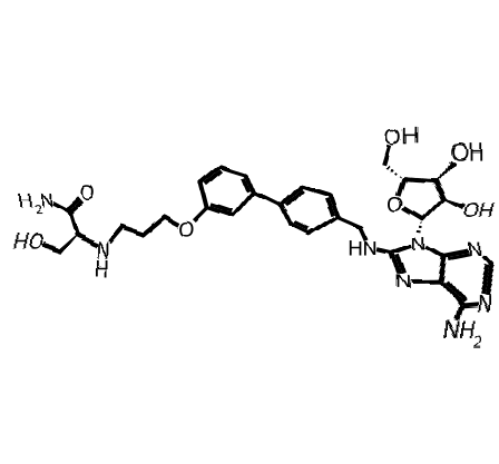 NC(=O)[C@H](CO)NCCCOc1cccc(-c2ccc(CNc3nc4c(N)ncnc4n3[C@@H]3O[C@H](CO)[C@@H](O)[C@H]3O)cc2)c1